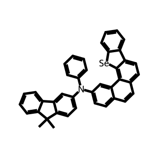 CC1(C)c2ccccc2-c2cc(N(c3ccccc3)c3ccc4ccc5ccc6c7ccccc7[se]c6c5c4c3)ccc21